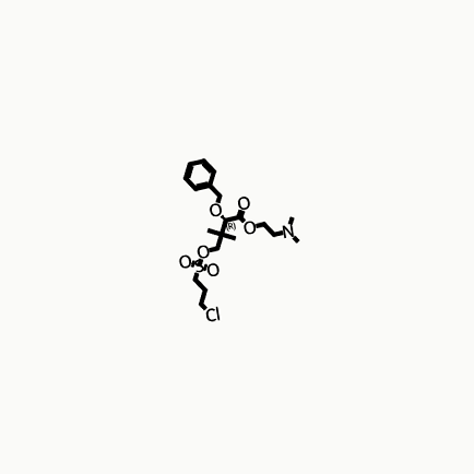 CN(C)CCOC(=O)[C@H](OCc1ccccc1)C(C)(C)COS(=O)(=O)CCCCl